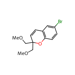 COCC1(COC)C=Cc2cc(Br)ccc2O1